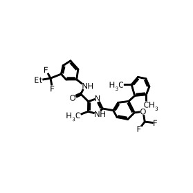 CCC(F)(F)c1cccc(NC(=O)c2nc(-c3ccc(OC(F)F)c(-c4c(C)cccc4C)c3)[nH]c2C)c1